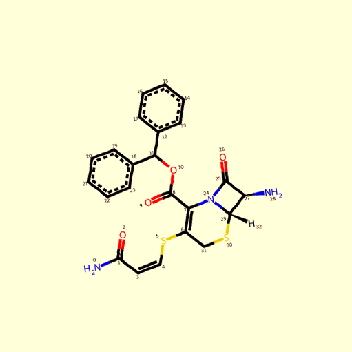 NC(=O)/C=C\SC1=C(C(=O)OC(c2ccccc2)c2ccccc2)N2C(=O)[C@@H](N)[C@@H]2SC1